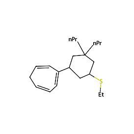 CCCC1(CCC)CC(SCC)CC(C2=CC=CCC=C2)C1